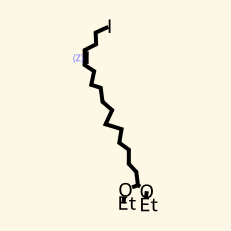 CCOC(CCCCCCCCCCC/C=C\CCI)OCC